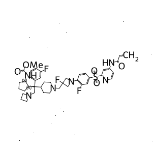 C=CC(=O)Nc1ccnc(S(=O)(=O)c2ccc(N3CC(F)(CN4CCC(C(CN5CCC5)(c5cccc(F)c5)[C@H]5CCC[C@@H]5NC(=O)OC)CC4)C3)c(F)c2)c1